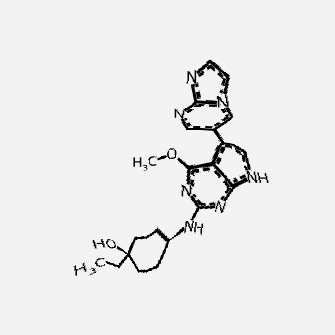 CC[C@]1(O)CC[C@@H](Nc2nc(OC)c3c(-c4cnc5nccn5c4)c[nH]c3n2)CC1